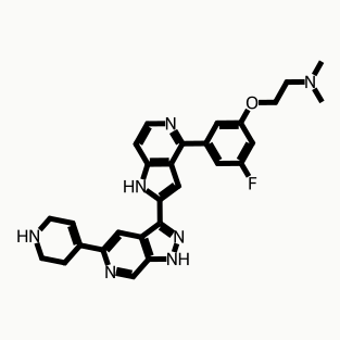 CN(C)CCOc1cc(F)cc(-c2nccc3[nH]c(-c4n[nH]c5cnc(C6=CCNCC6)cc45)cc23)c1